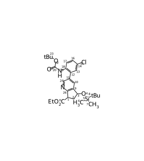 CCOC(=O)C1CC(O[Si](C)(C)C(C)(C)C)c2cc(-c3cc(Cl)ccc3NC(=O)OC(C)(C)C)cnc21